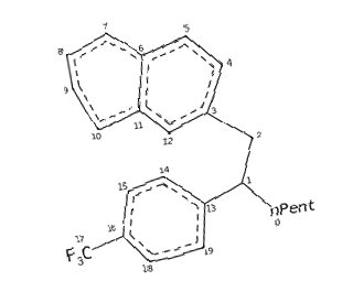 CCCCCC(Cc1ccc2ccccc2c1)c1ccc(C(F)(F)F)cc1